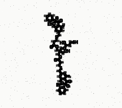 CCOP(=O)(C(=O)c1c(C)cc(CSCCC(=O)OCC(CO)(COC(=O)CCSCc2cc(C)c(C(=O)P(=O)(OCC)c3ccccc3)c(C)c2)COC(O)CCS)cc1C)c1ccccc1